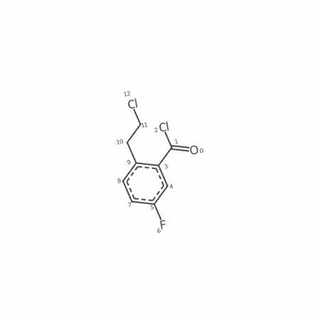 O=C(Cl)c1cc(F)ccc1CCCl